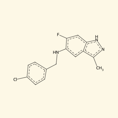 Cc1n[nH]c2cc(F)c(NCc3ccc(Cl)cc3)cc12